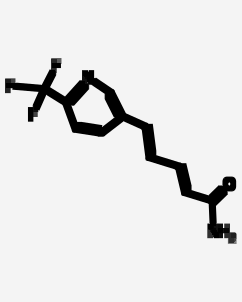 NC(=O)C=CC=Cc1ccc(C(F)(F)F)nc1